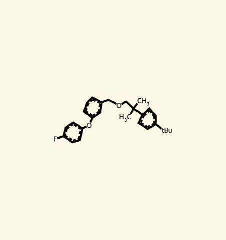 CC(C)(C)c1ccc(C(C)(C)COCc2cccc(Oc3ccc(F)cc3)c2)cc1